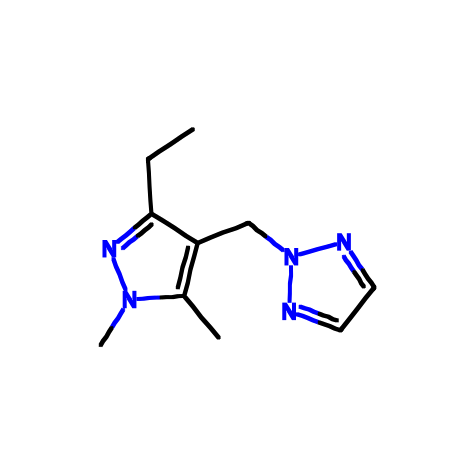 CCc1nn(C)c(C)c1Cn1nccn1